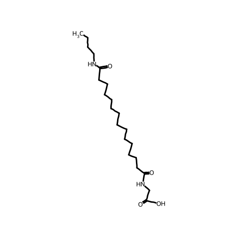 CCCCNC(=O)CCCCCCCCCCCCCC(=O)NCC(=O)O